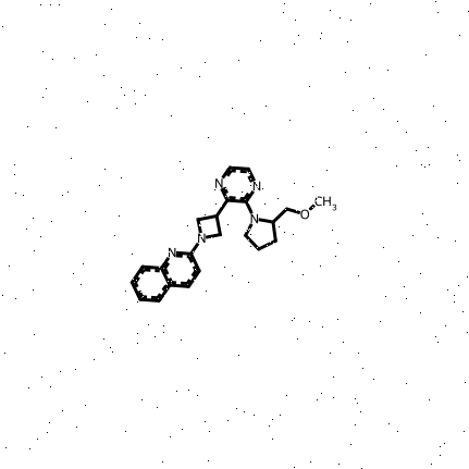 COCC1CCCN1c1nccnc1C1CN(c2ccc3ccccc3n2)C1